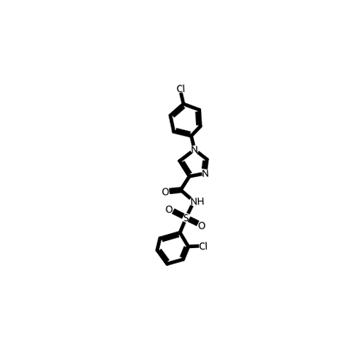 O=C(NS(=O)(=O)c1ccccc1Cl)c1cn(-c2ccc(Cl)cc2)cn1